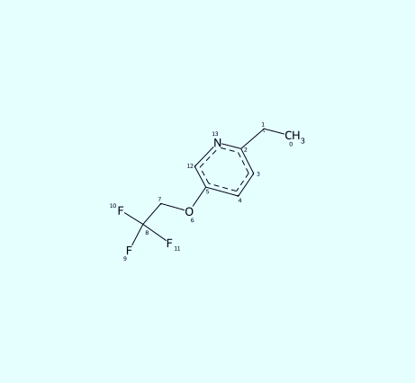 C[CH]c1ccc(OCC(F)(F)F)cn1